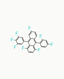 Fc1ccc(-c2c3ccc(F)cc3c(-c3cc(F)c(F)c(F)c3)c3c(F)ccc(F)c23)c(F)c1